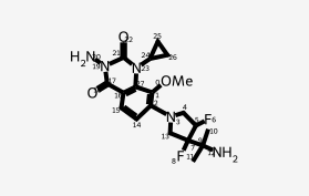 COc1c(N2CC(F)C(F)(C(C)(C)N)C2)ccc2c(=O)n(N)c(=O)n(C3CC3)c12